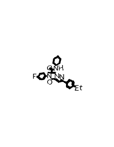 CCc1ccc(-c2cc3n(n2)CC(C)(C(=O)NC2CCCCC2)N(c2ccc(F)cc2)C3=O)cc1